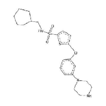 O=S(=O)(NCC1CCCCC1)c1ccc(Oc2cccc(N3CCNCC3)c2)s1